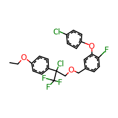 CCOc1ccc(C(Cl)(COCc2ccc(F)c(Oc3ccc(Cl)cc3)c2)C(F)(F)F)cc1